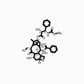 CC(=O)C[C@H]1C(=O)[C@]2(C)[C@@H](O)C[C@H]3OC[C@]3(OC(C)=O)[C@@H]2[C@H](OC(=O)c2ccccc2)[C@]2(O)C[C@@H](OC(=O)[C@H](O)[C@@H](NC(=O)OC(C)(C)C)c3ccccc3)C(C)=C1C2(C)C